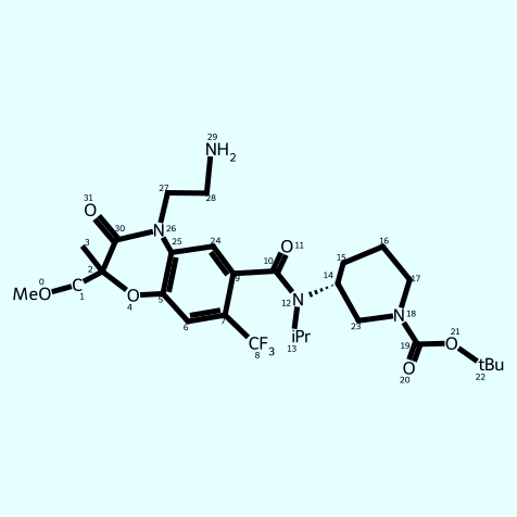 COCC1(C)Oc2cc(C(F)(F)F)c(C(=O)N(C(C)C)[C@@H]3CCCN(C(=O)OC(C)(C)C)C3)cc2N(CCN)C1=O